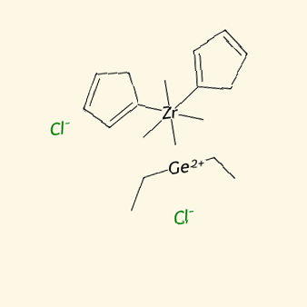 C[CH2][Ge+2][CH2]C.[CH3][Zr]([CH3])([CH3])([CH3])([C]1=CC=CC1)[C]1=CC=CC1.[Cl-].[Cl-]